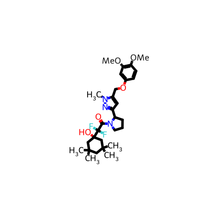 COc1ccc(OCc2cc(C3CCCN3C(=O)C(F)(F)C3(O)CC(C)(C)CC(C)(C)C3)nn2C)cc1OC